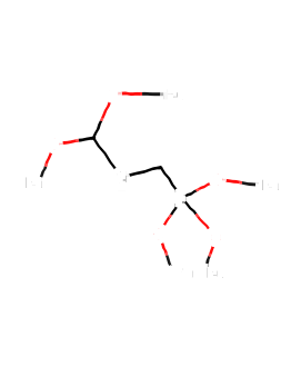 CCC(C)OC(OC(C)CC)[SiH2]C[Si](OC(C)CC)(OC(C)CC)OC(C)CC